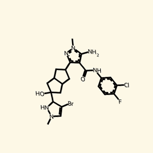 CN1C=C(Br)C(C2(O)CC3CC(c4nn(C)c(N)c4C(=O)Nc4ccc(F)c(Cl)c4)CC3C2)N1